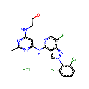 Cc1nc(NCCO)cc(Nc2ncc(F)c3nn(-c4c(F)cccc4Cl)cc23)n1.Cl